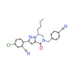 CCCCC1CN(Cc2ccc(C#N)cc2)C(=O)c2cc(-c3ccc(Cl)cc3C#N)nn21